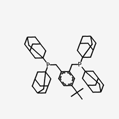 CC(C)(C)c1ccc(CP(C23CC4CC(CC(C4)C2)C3)C23CC4CC(CC(C4)C2)C3)c(CP(C23CC4CC(CC(C4)C2)C3)C23CC4CC(CC(C4)C2)C3)c1